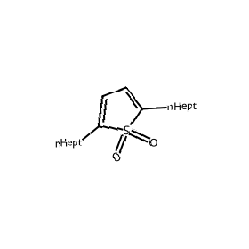 CCCCCCCC1=CC=C(CCCCCCC)S1(=O)=O